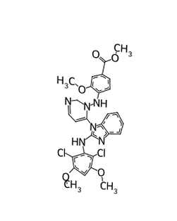 COC(=O)c1ccc(NN2CN=CC=C2n2c(Nc3c(Cl)c(OC)cc(OC)c3Cl)nc3ccccc32)c(OC)c1